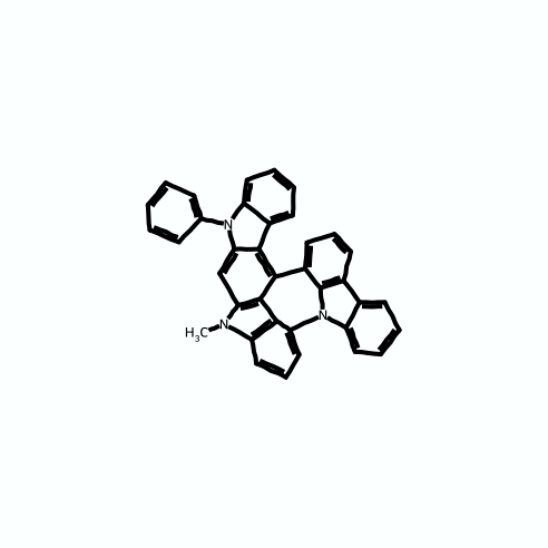 Cn1c2cc3c(c4ccccc4n3-c3ccccc3)c3c4cccc5c6ccccc6n(c6cccc1c6c32)c54